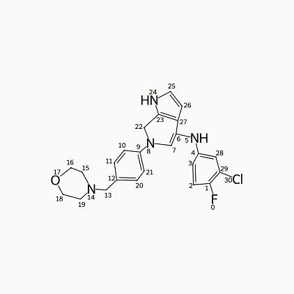 Fc1ccc(NC2=CN(c3ccc(CN4CCOCC4)cc3)Cc3[nH]ccc32)cc1Cl